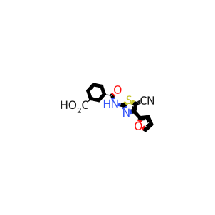 N#Cc1sc(NC(=O)[C@H]2CCC[C@@H](C(=O)O)C2)nc1-c1ccco1